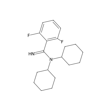 N=C(c1c(F)cccc1F)N(C1CCCCC1)C1CCCCC1